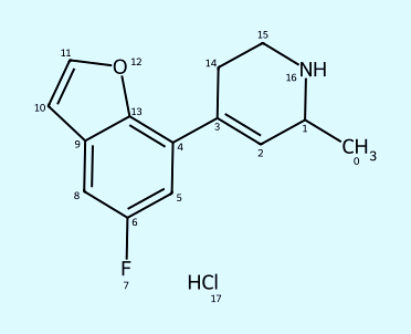 CC1C=C(c2cc(F)cc3ccoc23)CCN1.Cl